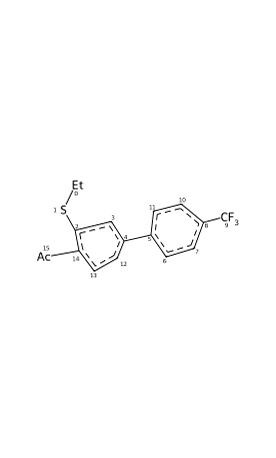 CCSc1cc(-c2ccc(C(F)(F)F)cc2)ccc1C(C)=O